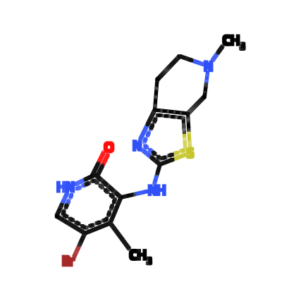 Cc1c(Br)c[nH]c(=O)c1Nc1nc2c(s1)CN(C)CC2